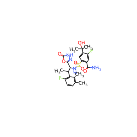 Cc1ccc(F)c(C(C)C(NS(=O)(=O)c2cc(C(C)(C)O)c(F)cc2C(N)=O)c2n[nH]c(=O)o2)c1C